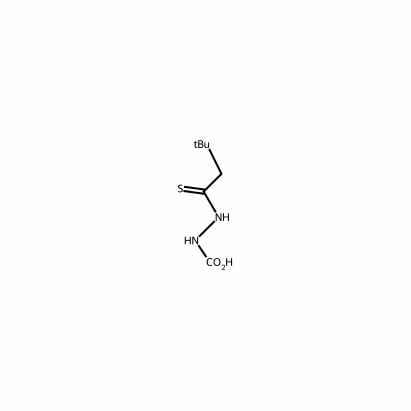 CC(C)(C)CC(=S)NNC(=O)O